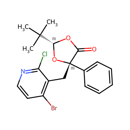 CC(C)(C)[C@@H]1OC(=O)[C@](Cc2c(Br)ccnc2Cl)(c2ccccc2)O1